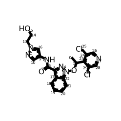 CC(On1nc(C(=O)Nc2cnn(CCO)c2)c2ccccc21)c1c(Cl)cncc1Cl